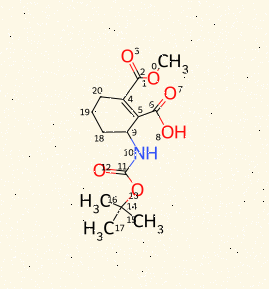 COC(=O)C1=C(C(=O)O)C(NC(=O)OC(C)(C)C)CCC1